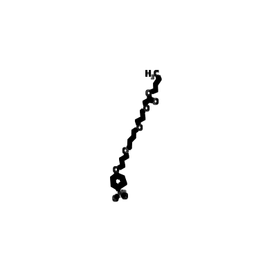 CCCCOC(=O)COCCCOCCCCOCCCOc1ccc([N+](=O)[O-])cc1